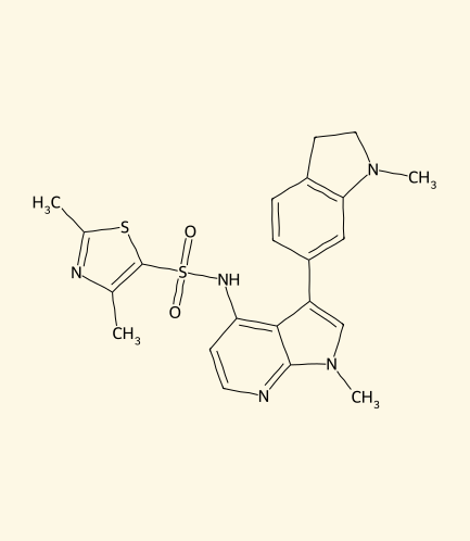 Cc1nc(C)c(S(=O)(=O)Nc2ccnc3c2c(-c2ccc4c(c2)N(C)CC4)cn3C)s1